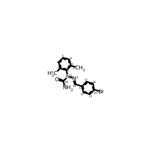 Cc1cccc(C)c1N(N=Cc1ccc(Br)cc1)C(N)=O